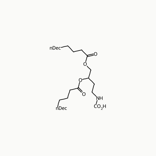 CCCCCCCCCCCCCC(=O)OCC(CCNC(=O)O)OC(=O)CCCCCCCCCCCCC